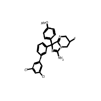 COc1ccc(C2(c3cccc(-c4cc(Cl)cc(Cl)c4)c3)N=C(N)N3CC(F)CN=C32)cc1